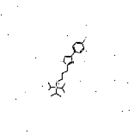 CC(C)[Si](OCCCc1nc(-c2ccc(F)cc2)c[nH]1)(C(C)C)C(C)C